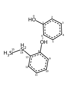 Oc1ccccc1.Oc1ccccc1[SiH2][SiH3]